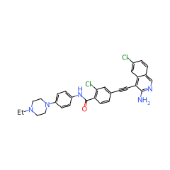 CCN1CCN(c2ccc(NC(=O)c3ccc(C#Cc4c(N)ncc5ccc(Cl)cc45)cc3Cl)cc2)CC1